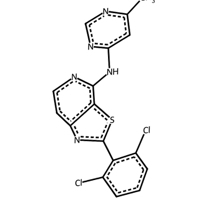 Cc1cc(Nc2nccc3nc(-c4c(Cl)cccc4Cl)sc23)ncn1